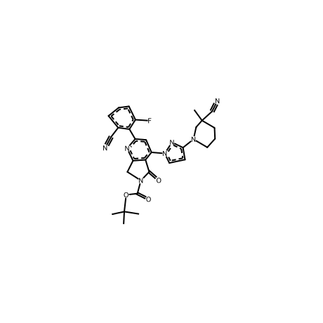 CC1(C#N)CCCN(c2ccn(-c3cc(-c4c(F)cccc4C#N)nc4c3C(=O)N(C(=O)OC(C)(C)C)C4)n2)C1